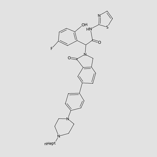 CCCCCCCN1CCN(c2ccc(-c3ccc4c(c3)C(=O)N(C(C(=O)Nc3nccs3)c3cc(F)ccc3O)C4)cc2)CC1